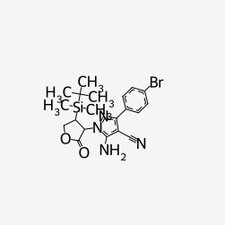 CC(C)(C)[Si](C)(C)C1COC(=O)C1n1nc(-c2ccc(Br)cc2)c(C#N)c1N